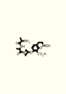 CC(N)C(=O)NC(C)C(=O)N1CC(Oc2ccc3c(c2C(=O)O)OB(O)CC3)C1